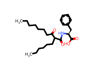 CCCCCCCC(=O)C(CCCCCC)C(=O)N[C@@H](Cc1ccccc1)C(=O)O